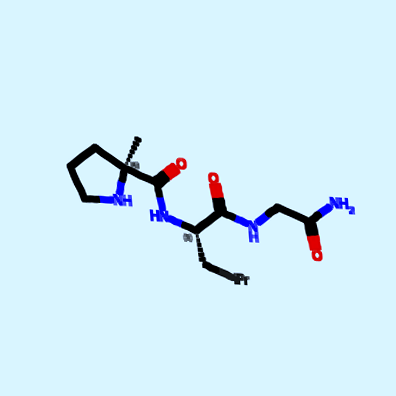 CC(C)C[C@H](NC(=O)[C@]1(C)CCCN1)C(=O)NCC(N)=O